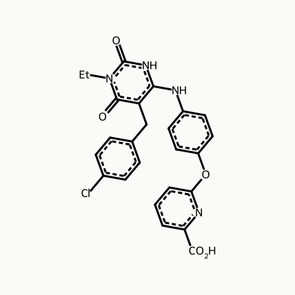 CCn1c(=O)[nH]c(Nc2ccc(Oc3cccc(C(=O)O)n3)cc2)c(Cc2ccc(Cl)cc2)c1=O